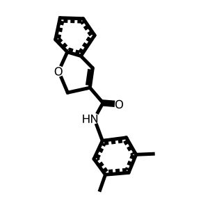 Cc1cc(C)cc(NC(=O)C2=Cc3ccccc3OC2)c1